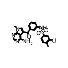 Cc1ccc(S(=O)(=O)Nc2cccc(C(=O)c3cn(C)c4ncnc(N)c34)c2)cc1Cl